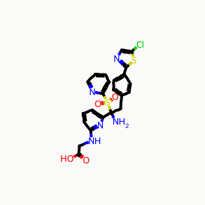 NC(Cc1ccc(-c2ncc(Cl)s2)cc1)(c1cccc(NCC(=O)O)n1)S(=O)(=O)c1ccccn1